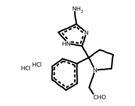 Cl.Cl.Nc1c[nH]c(C2(c3ccccc3)CCCN2CC=O)n1